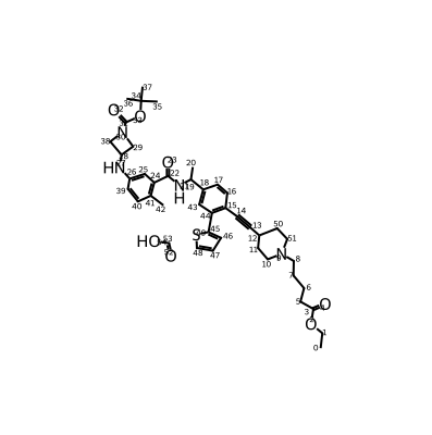 CCOC(=O)CCCCN1CCC(C#Cc2ccc(C(C)NC(=O)c3cc(NC4CN(C(=O)OC(C)(C)C)C4)ccc3C)cc2-c2cccs2)CC1.O=CO